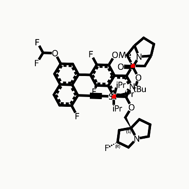 COc1c(F)c(-c2cc(OC(F)F)cc3ccc(F)c(C#C[Si](C(C)C)(C(C)C)C(C)C)c23)c(F)c2nc(OC[C@@]34CCCN3C[C@H](F)C4)nc(N3CC4CCC(C3)N4C(=O)OC(C)(C)C)c12